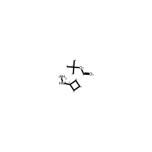 CC(C)(C)OC=O.NNC1CCC1